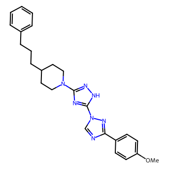 COc1ccc(-c2ncn(-c3nc(N4CCC(CCCc5ccccc5)CC4)n[nH]3)n2)cc1